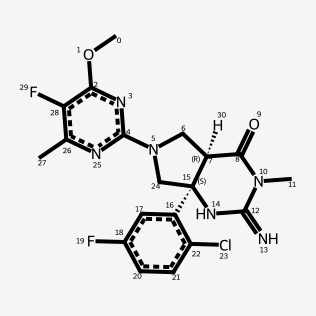 COc1nc(N2C[C@H]3C(=O)N(C)C(=N)N[C@@]3(c3cc(F)ccc3Cl)C2)nc(C)c1F